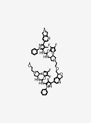 COCCN1CC(NC(=O)Nc2c(C)c(-c3cnc4c(c3)C(COCCN3CC(NC(=O)Nc5c(C)c(-c6cnc7c(c6)CN(C)C7)nn5-c5ccccc5)C(n5cc(F)c(F)c5)C3)OC4)nn2-c2ccccc2)C(n2cc(F)c(F)c2)C1